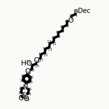 CCCCCCCCCCCCOCCCCCCCCCCCCCCOCC(O)COc1ccc(N2CCS(=O)(=O)CC2)cc1